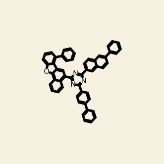 c1ccc(-c2ccc(-c3nc(-c4ccc5cc(-c6ccccc6)ccc5c4)nc(-c4cc5c(oc6cccc(-c7ccccc7)c65)c5ccccc45)n3)cc2)cc1